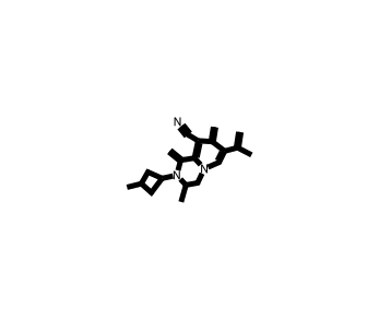 C=C(C)C1=CN2CC(C)N(C3CC(C)C3)C(=C)C2=C(C#N)C1=C